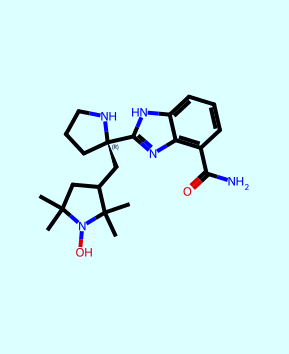 CC1(C)CC(C[C@@]2(c3nc4c(C(N)=O)cccc4[nH]3)CCCN2)C(C)(C)N1O